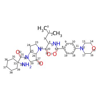 CC(C)CC(NC(=O)c1ccc(N2CCOCC2)cc1)C(=O)N1CCC2C1C(=O)CN2C(=O)C1(N)CCCCC1